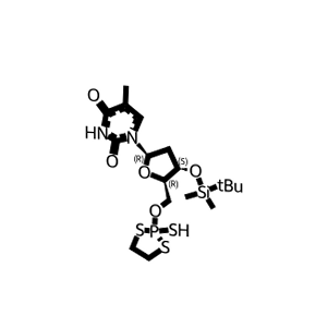 Cc1cn([C@H]2C[C@H](O[Si](C)(C)C(C)(C)C)[C@@H](CO[P]3(S)SCCS3)O2)c(=O)[nH]c1=O